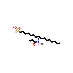 C=CC(N)=O.CCCCCCCCCCCCCCCCS(=O)(=O)O.[NaH]